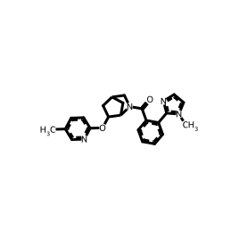 Cc1ccc(OC2CC3CC2N(C(=O)c2ccccc2-c2nccn2C)C3)nc1